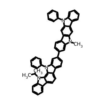 CC(C)n1c2ccccc2c2ccc3c4ccc(-c5ccc6c7cc8c(cc7n(C)c6c5)c5ccccc5n8-c5ccccc5)cc4n(-c4ccccc4)c3c21